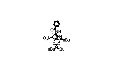 CCCCc1nc2c(NC(=O)c3ccccc3)nc([N+](=O)[O-])nc2n1OC(=O)N(CCCC)C(C)(C)C